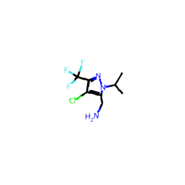 CC(C)n1nc(C(F)(F)F)c(Cl)c1CN